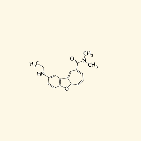 CCNc1ccc2c(c1)C1=CC(C(=O)N(C)C)=CC=CC1O2